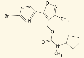 Cc1noc(-c2ccc(Br)cn2)c1COC(=O)N(C)C1CCCC1